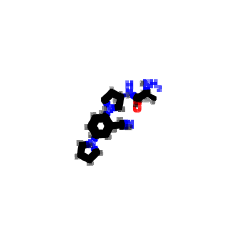 C[C@H](N)C(=O)N[C@H]1CCN(c2ccc(N3CCCC3)cc2C#N)C1